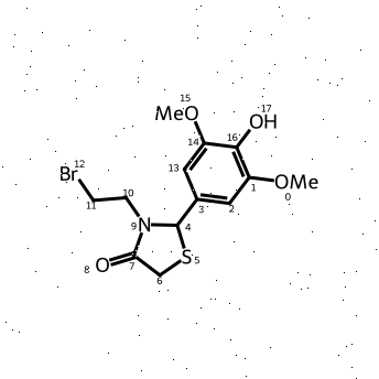 COc1cc(C2SCC(=O)N2CCBr)cc(OC)c1O